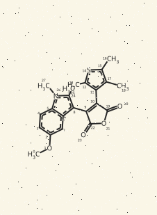 COc1ccc2c(c1)c(C1=C(c3c(C)sc(C)c3C)C(=O)OC1=O)c(C)n2C